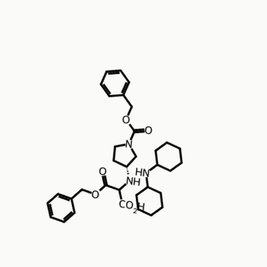 C1CCC(NC2CCCCC2)CC1.O=C(O)C(N[C@@H]1CCN(C(=O)OCc2ccccc2)C1)C(=O)OCc1ccccc1